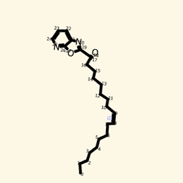 CCCCCCCC/C=C\CCCCCCCC(=O)c1nc2cccnc2o1